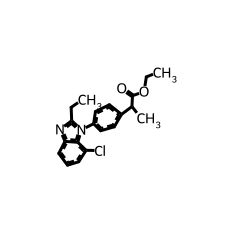 CCOC(=O)C(C)c1ccc(-n2c(CC)nc3cccc(Cl)c32)cc1